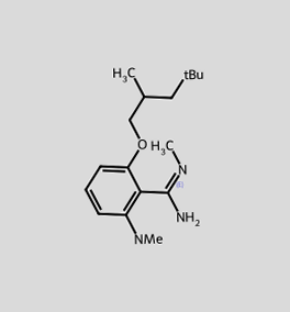 C/N=C(/N)c1c(NC)cccc1OCC(C)CC(C)(C)C